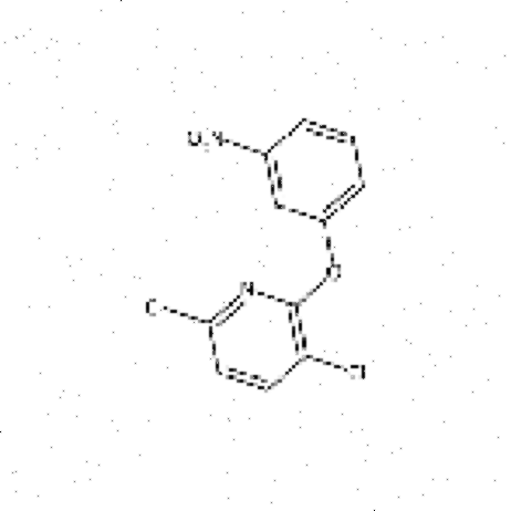 O=[N+]([O-])c1cccc(Oc2nc(Cl)ccc2Cl)c1